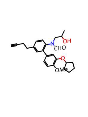 C#CCCc1ccc(N(C=O)CC(C)O)c(-c2ccc(OC)c(OC3CCCC3)c2)c1